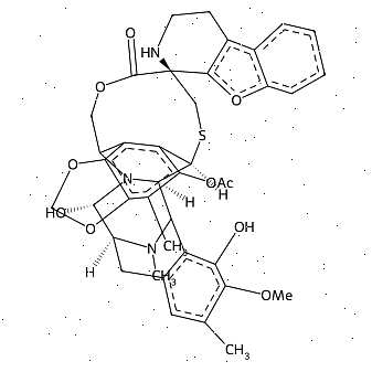 COc1c(C)cc2c(c1O)C1[C@@H]3[C@@H]4SC[C@]5(NCCc6c5oc5ccccc65)C(=O)OCC(c5c6c(c(C)c(OC(C)=O)c54)OCO6)N3[C@@H](O)[C@H](C2)N1C